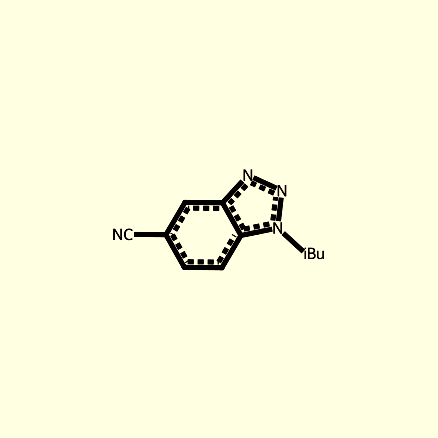 CCC(C)n1nnc2cc(C#N)ccc21